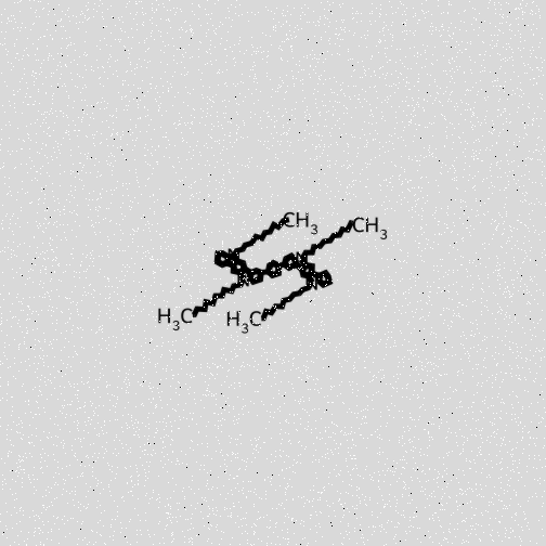 CCCCCCCCCCCCn1c2ccccc2c2cc3c(cc21)c1cc(-c2ccc(-c4ccc5c(c4)c4cc6c(cc4n5CCCCCCCCCCCC)c4ccccc4n6CCCCCCCCCCCC)cc2)ccc1n3CCCCCCCCCCCC